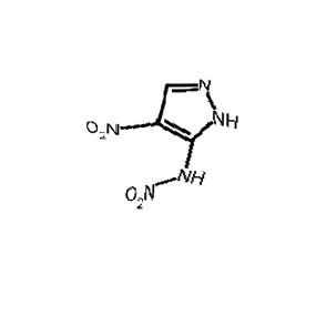 O=[N+]([O-])Nc1[nH]ncc1[N+](=O)[O-]